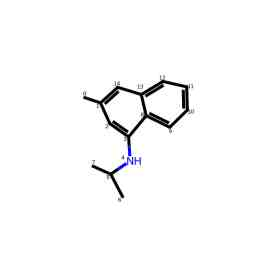 Cc1cc(NC(C)C)c2ccccc2c1